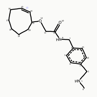 CNCc1ccc(CNC(=O)COC2/C=C\CCCCC2)cc1